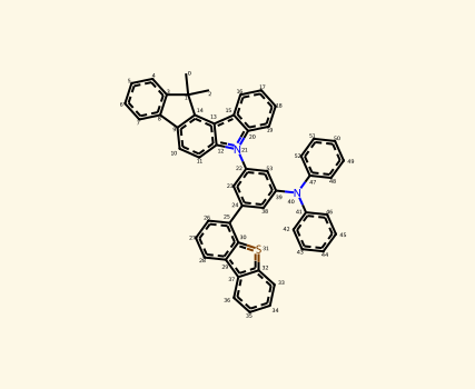 CC1(C)c2ccccc2-c2ccc3c(c21)c1ccccc1n3-c1cc(-c2cccc3c2sc2ccccc23)cc(N(c2ccccc2)c2ccccc2)c1